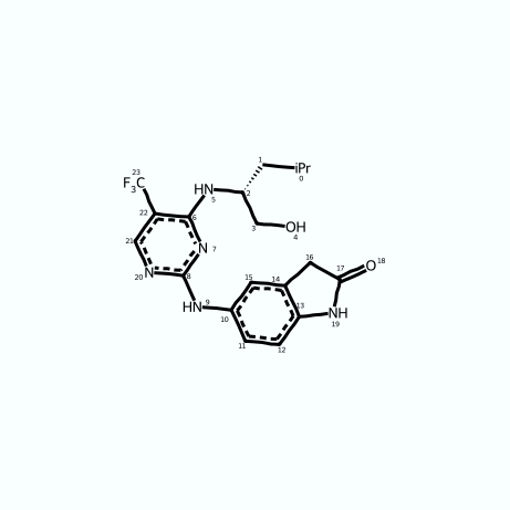 CC(C)C[C@H](CO)Nc1nc(Nc2ccc3c(c2)CC(=O)N3)ncc1C(F)(F)F